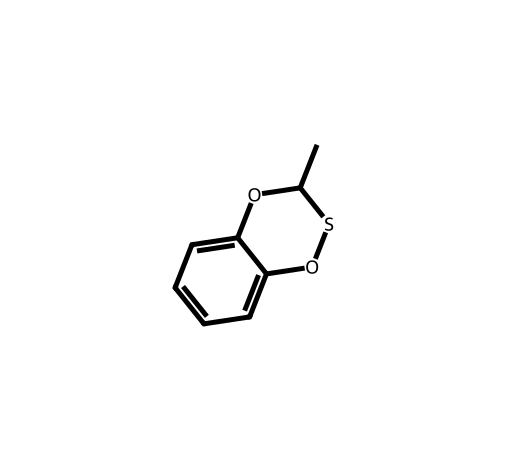 CC1Oc2ccccc2OS1